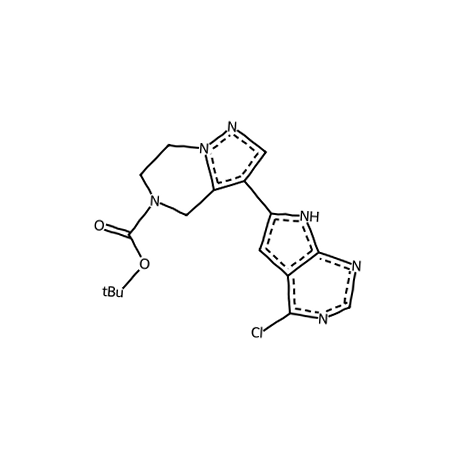 CC(C)(C)OC(=O)N1CCn2ncc(-c3cc4c(Cl)ncnc4[nH]3)c2C1